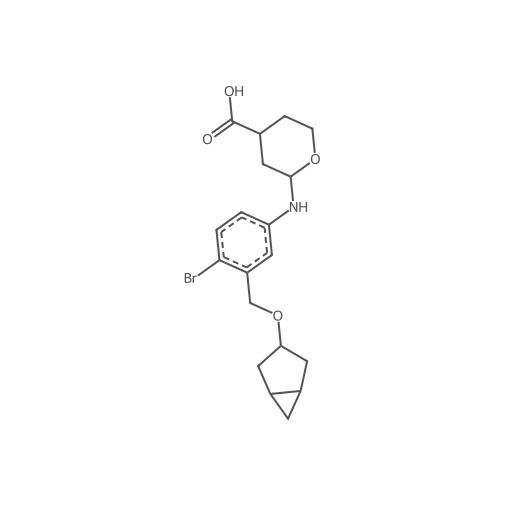 O=C(O)C1CCOC(Nc2ccc(Br)c(COC3CC4CC4C3)c2)C1